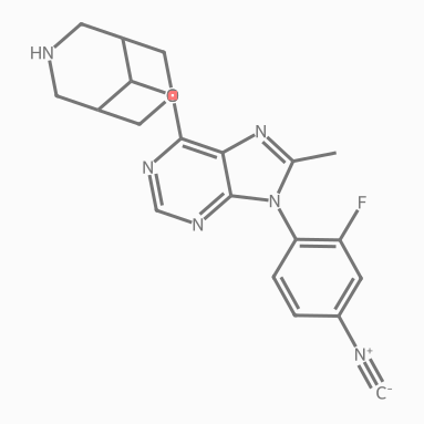 [C-]#[N+]c1ccc(-n2c(C)nc3c(OC4C5CNCC4COC5)ncnc32)c(F)c1